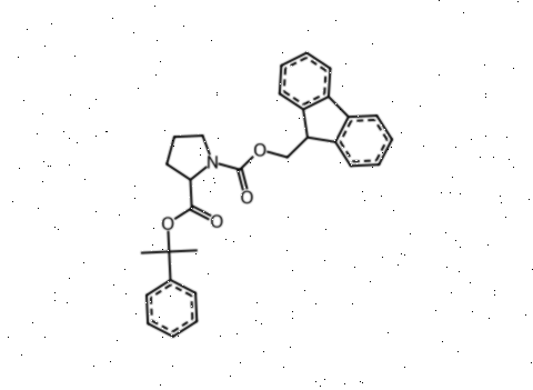 CC(C)(OC(=O)C1CCCN1C(=O)OCC1c2ccccc2-c2ccccc21)c1ccccc1